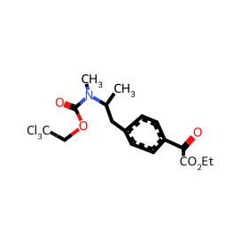 CCOC(=O)C(=O)c1ccc(CC(C)N(C)C(=O)OCC(Cl)(Cl)Cl)cc1